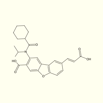 CC(C)N(C(=O)C1CCCCC1)c1cc2c(cc1C(=O)O)oc1ccc(/C=C/C(=O)O)cc12